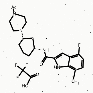 CC(=O)N1CCN([C@H]2CCC[C@@H](NC(=O)c3cc4c(F)ccc(C)c4[nH]3)C2)CC1.O=C(O)C(F)(F)F